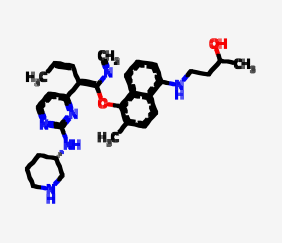 C=N/C(Oc1c(C)ccc2c(NCCC(C)O)cccc12)=C(\C=C/C)c1ccnc(N[C@H]2CCCNC2)n1